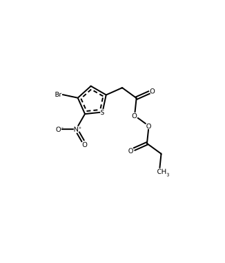 CCC(=O)OOC(=O)Cc1cc(Br)c([N+](=O)[O-])s1